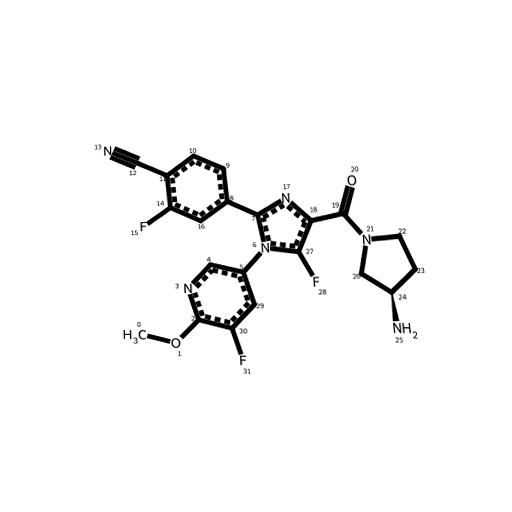 COc1ncc(-n2c(-c3ccc(C#N)c(F)c3)nc(C(=O)N3CC[C@@H](N)C3)c2F)cc1F